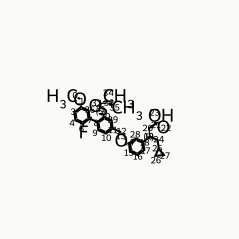 COc1ccc(F)c(-c2ccc(COc3cccc([C@@H](CC(=O)O)CC4CC4)c3)cc2[S@+]([O-])C(C)C)c1